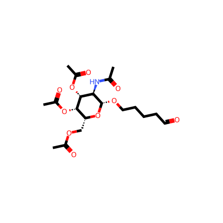 CC(=O)N[C@H]1[C@H](OCCCCC=O)O[C@H](COC(C)=O)[C@H](OC(C)=O)[C@@H]1OC(C)=O